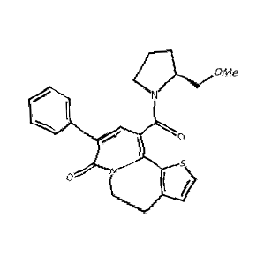 COC[C@@H]1CCCN1C(=O)c1cc(-c2ccccc2)c(=O)n2c1-c1sccc1CC2